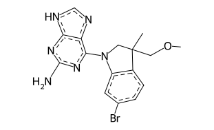 COCC1(C)CN(c2nc(N)nc3[nH]cnc23)c2cc(Br)ccc21